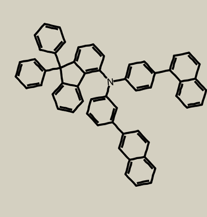 c1ccc(C2(c3ccccc3)c3ccccc3-c3c(N(c4ccc(-c5cccc6ccccc56)cc4)c4cccc(-c5ccc6ccccc6c5)c4)cccc32)cc1